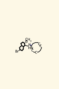 COc1ccc2cc(Br)ccc2c1C/N=C1/CCCCCCCCCCCN1